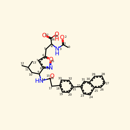 CC(=O)NC(Cc1cc(C(CC(C)C)NC(=O)Cc2ccc(-c3ccc4ccccc4c3)cc2)no1)C(=O)O